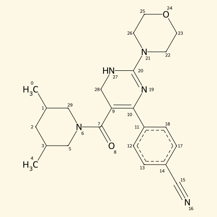 CC1CC(C)CN(C(=O)C2=C(c3ccc(C#N)cc3)N=C(N3CCOCC3)NC2)C1